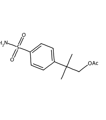 CC(=O)OCC(C)(C)c1ccc(S(N)(=O)=O)cc1